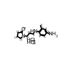 Cc1cc(N)ccc1NCCCN1CCCC1=O.Cl.Cl